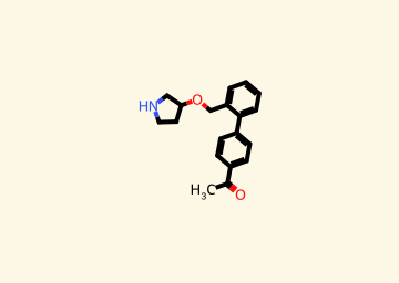 CC(=O)c1ccc(-c2ccccc2COC2CCNC2)cc1